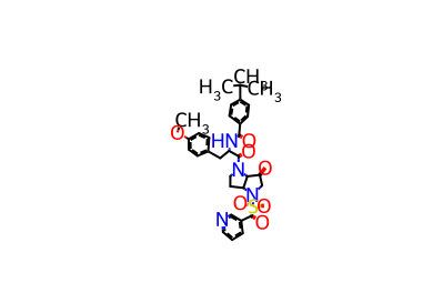 COc1ccc(CC(NC(=O)c2ccc(C(C)(C)C)cc2)C(=O)N2CCC3C2C(=O)CN3S(=O)(=O)C(=O)c2cccnc2)cc1